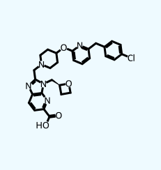 O=C(O)c1ccc2nc(CN3CCC(Oc4cccc(Cc5ccc(Cl)cc5)n4)CC3)n(C[C@@H]3CCO3)c2n1